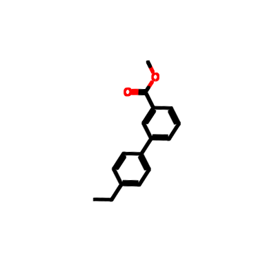 CCc1ccc(-c2cccc(C(=O)OC)c2)cc1